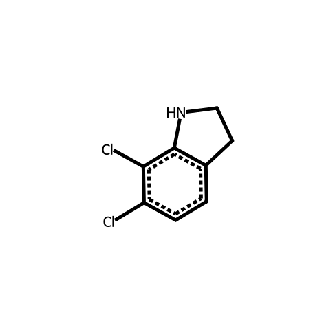 Clc1ccc2c(c1Cl)NCC2